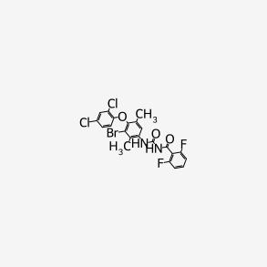 Cc1cc(NC(=O)NC(=O)c2c(F)cccc2F)c(C)c(Br)c1Oc1ccc(Cl)cc1Cl